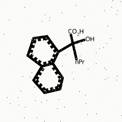 CCCC(O)(C(=O)O)c1cccc2ccccc12